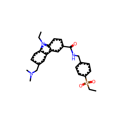 CCn1c2ccc(CN(C)C)cc2c2cc(C(=O)NCc3ccc(S(=O)(=O)CC)cc3)ccc21